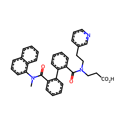 CN(C(=O)c1ccccc1-c1ccccc1C(=O)N(CCC(=O)O)CCc1cccnc1)c1cccc2ccccc12